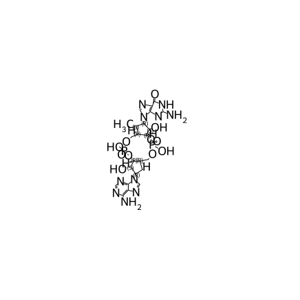 C[C@H]1[C@@H]2COP(=O)(O)O[C@@H]3[C@@H](COP(=O)(O)O[C@H]2[C@@H](O)[C@@H]1n1cnc2c(=O)[nH]c(N)nc21)C[C@@H](n1cnc2c(N)ncnc21)[C@@H]3O